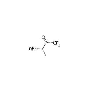 CCCC(C)C(=O)C(F)(F)F